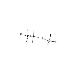 CC(C)(C)[PH](F)(F)F.F[B-](F)(F)F